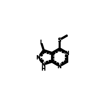 CSc1ncnc2[nH]nc(I)c12